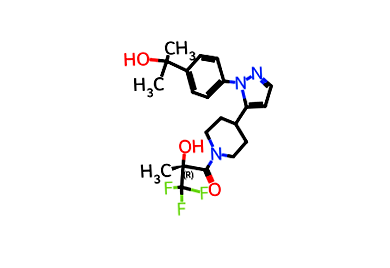 CC(C)(O)c1ccc(-n2nccc2C2CCN(C(=O)[C@@](C)(O)C(F)(F)F)CC2)cc1